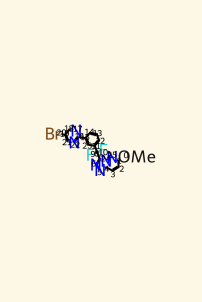 COc1ccc2nnc(C(F)(F)c3cccc(-c4ncc(Br)cn4)c3)n2n1